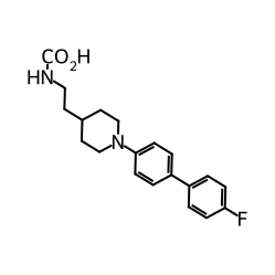 O=C(O)NCCC1CCN(c2ccc(-c3ccc(F)cc3)cc2)CC1